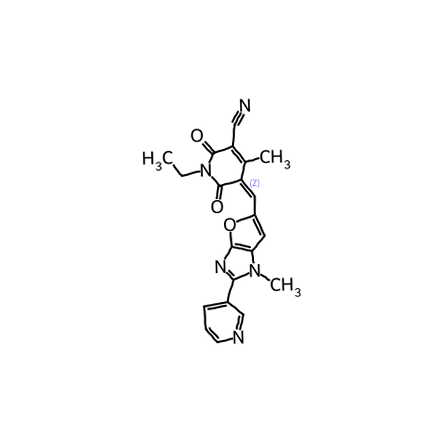 CCN1C(=O)C(C#N)=C(C)/C(=C/c2cc3c(nc(-c4cccnc4)n3C)o2)C1=O